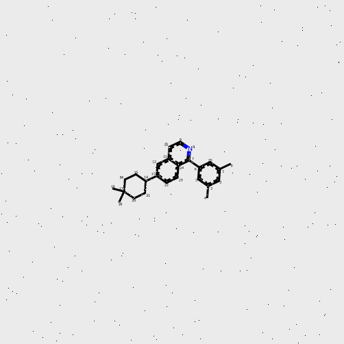 Cc1cc(C)cc(-c2nccc3cc(C4CCC(C)(C)CC4)ccc23)c1